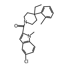 CCC1(c2ccccc2C)CCN(C(=O)c2cc3cc(Cl)ccc3n2C)CC1